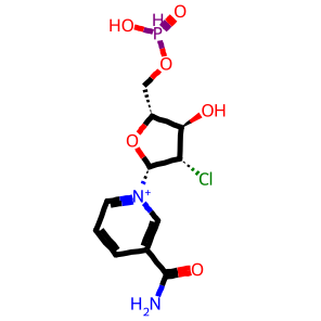 NC(=O)c1ccc[n+]([C@@H]2O[C@H](CO[PH](=O)O)[C@@H](O)[C@@H]2Cl)c1